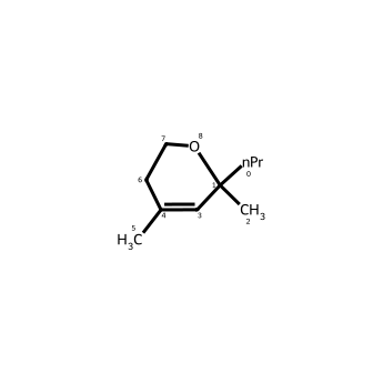 CCCC1(C)C=C(C)CCO1